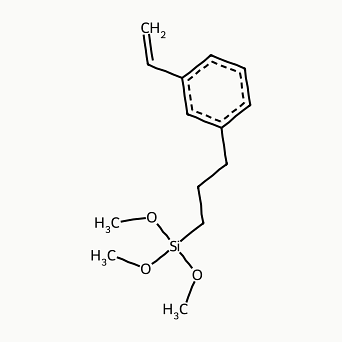 C=Cc1cccc(CCC[Si](OC)(OC)OC)c1